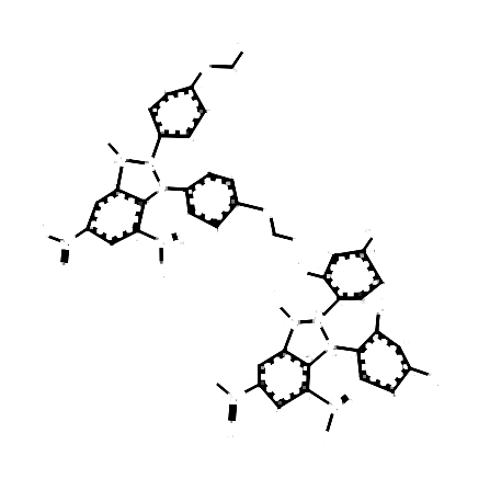 CCOc1ccc(N2c3c(cc([N+](=O)[O-])cc3[N+](=O)[O-])N(O)N2c2ccc(OCC)cc2)cc1.Cc1ccc(N2c3c(cc([N+](=O)[O-])cc3[N+](=O)[O-])N(O)N2c2ccc(C)cc2Br)c(Br)c1